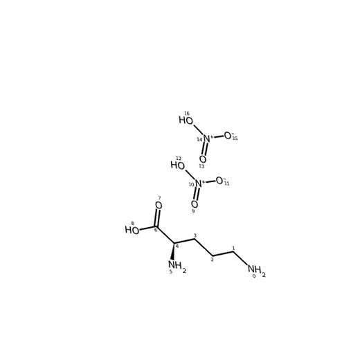 NCCC[C@@H](N)C(=O)O.O=[N+]([O-])O.O=[N+]([O-])O